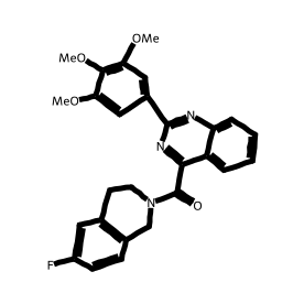 COc1cc(-c2nc(C(=O)N3CCc4cc(F)ccc4C3)c3ccccc3n2)cc(OC)c1OC